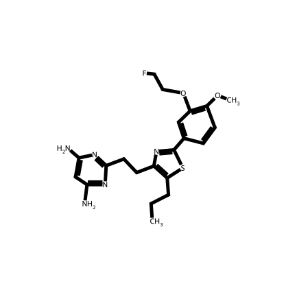 CCCc1sc(-c2ccc(OC)c(OCCF)c2)nc1CCc1nc(N)cc(N)n1